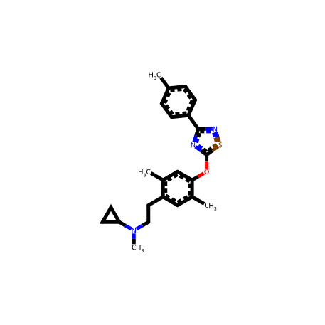 Cc1ccc(-c2nsc(Oc3cc(C)c(CCN(C)C4CC4)cc3C)n2)cc1